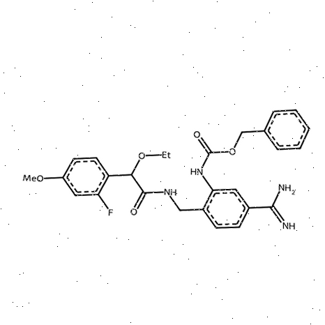 CCOC(C(=O)NCc1ccc(C(=N)N)cc1NC(=O)OCc1ccccc1)c1ccc(OC)cc1F